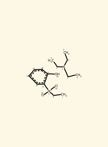 CCN(CC)CC.CC[N+](Cl)(Cl)c1ccccc1O